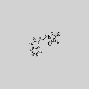 CC(CCCCN1CC(=O)N(C)C1=O)Cc1ccccc1